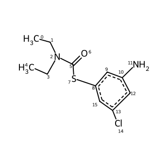 CCN(CC)C(=O)Sc1cc(N)cc(Cl)c1